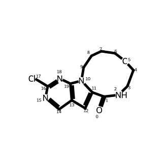 O=C1NCCCCCCCn2c1cc1cnc(Cl)nc12